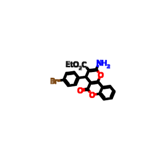 CCOC(=O)C1=C(N)Oc2c(c(=O)oc3ccccc23)C1c1ccc(Br)cc1